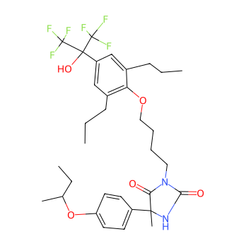 CCCc1cc(C(O)(C(F)(F)F)C(F)(F)F)cc(CCC)c1OCCCCN1C(=O)NC(C)(c2ccc(OC(C)CC)cc2)C1=O